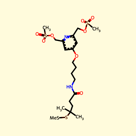 CSSC(C)(C)CCC(=O)NCCCCOc1cc(COS(C)(=O)=O)nc(COS(C)(=O)=O)c1